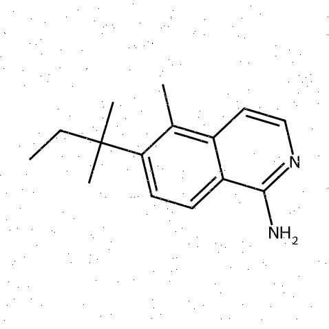 CCC(C)(C)c1ccc2c(N)nccc2c1C